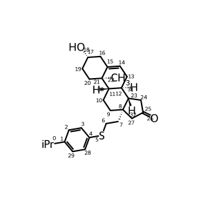 CC(C)c1ccc(SCC[C@]23CC[C@H]4[C@@H](CC=C5C[C@@H](O)CC[C@@]54C)[C@@H]2CC(=O)C3)cc1